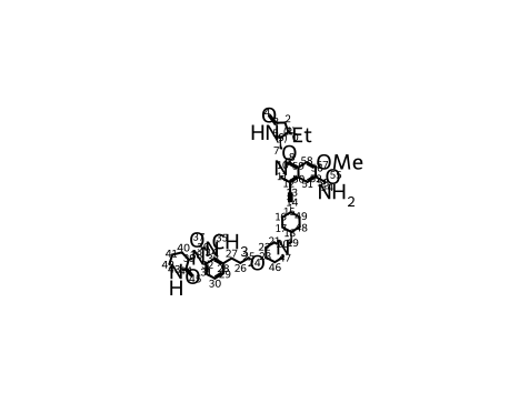 CC[C@@H]1CC(=O)N[C@@H]1COc1ncc(C#C[C@H]2CC[C@H](CN3CCC(OCCCc4cccc5c4n(C)c(=O)n5C4CCCNC4=O)CC3)CC2)c2cc(C(N)=O)c(OC)cc12